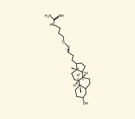 C[C@]12CCC(O)CC1CC[C@@H]1[C@H]2CC[C@]2(C)C(CC/C=N/OCCCNC(=N)N)CC[C@@H]12